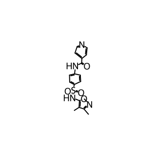 Cc1noc(NS(=O)(=O)c2ccc(NC(=O)c3ccncc3)cc2)c1C